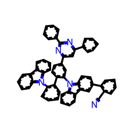 N#Cc1ccccc1-c1ccc2c(c1)c1ccccc1n2-c1cc(-c2cc(-c3ccccc3)nc(-c3ccccc3)n2)ccc1-c1ccccc1-n1c2ccccc2c2ccccc21